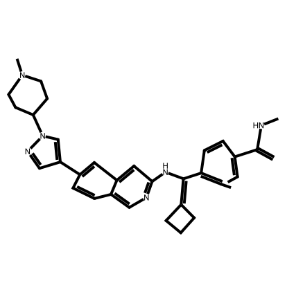 C=C(NC)C(/C=C\C(=C/C)C(Nc1cc2cc(-c3cnn(C4CCN(C)CC4)c3)ccc2cn1)=C1CCC1)=C/C